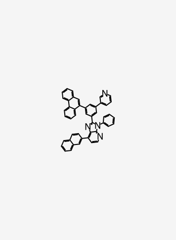 c1ccc(-n2c(-c3cc(-c4cccnc4)cc(-c4cc5ccccc5c5ccccc45)c3)nc3c(-c4ccc5ccccc5c4)ccnc32)cc1